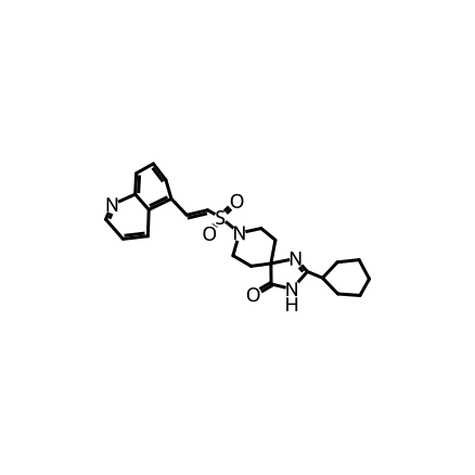 O=C1NC(C2CCCCC2)=NC12CCN(S(=O)(=O)/C=C/c1cccc3ncccc13)CC2